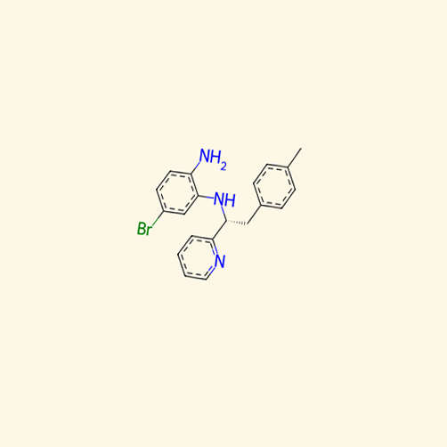 Cc1ccc(C[C@@H](Nc2cc(Br)ccc2N)c2ccccn2)cc1